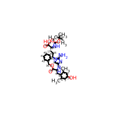 Cc1cc(O)cc(C)c1C[C@H](Nc1cn(CCC[C@@H](NC(=O)OC(C)(C)C)C(=O)O)c(N)n1)C(=O)OCc1ccccc1